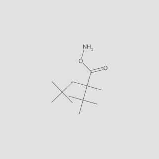 CC(C)(C)CC(C)(C(=O)ON)C(C)(C)C